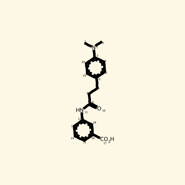 CN(C)c1ccc(CCC(=O)Nc2cccc(C(=O)O)c2)cc1